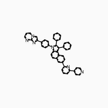 c1ccc(-c2c(-c3ccccc3)n(-c3ccc(-c4cn5cccnc5n4)cc3)c3ccc4cc(-c5cccc(-c6ccncc6)n5)ccc4c23)cc1